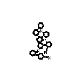 N#Cc1ccc2c3ccccc3n(-c3cccc(-c4c(C#N)cccc4-n4c5ccccc5c5c(-n6c7ccccc7c7ccccc76)cccc54)c3)c2c1